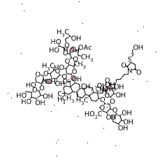 CC(=O)OC(C)C(C)OC(OC1C(C)OC(OC(=O)[C@]23CCC(C)(C)CC2C2=CCC4[C@@](C)(CCC5[C@]4(C)CC[C@H](OC4OC(C(=O)O)C(O)C(OC6OCC(O)C(O)C6O)C4OC4OC(CO)C(O)C(O)C4O)[C@@]5(C)/C=N/NC(=O)CCCCCN4C(=O)C[C@H](SCCO)C4=O)C2C[C@H]3O)C(OC2OC(C)C(OC3OCC(O)C(OC4OC(CO)C(O)C(O)C4O)C3O)C(O)C2O)C1O)C(O)OC(OCC(C)O)C(O)O